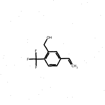 C=Cc1ccc(C(F)(F)F)c(CO)c1